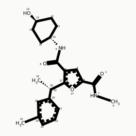 CNC(=O)c1cc(C(=O)N[C@H]2CC[C@H](O)CC2)c([C@@H](C)c2cccc(C)c2)o1